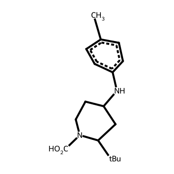 Cc1ccc(NC2CCN(C(=O)O)C(C(C)(C)C)C2)cc1